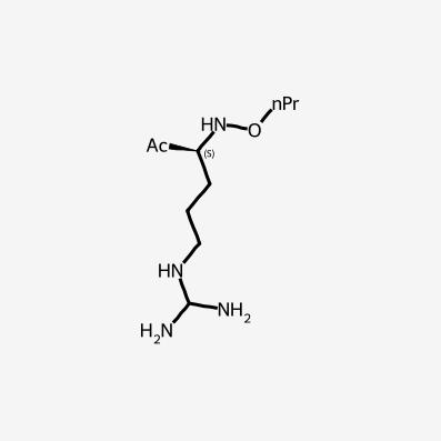 CCCON[C@@H](CCCNC(N)N)C(C)=O